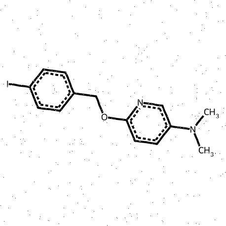 CN(C)c1ccc(OCc2ccc(I)cc2)nc1